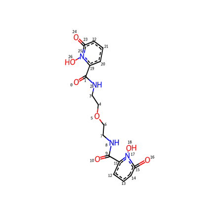 O=C(NCCOCCNC(=O)c1cccc(=O)n1O)c1cccc(=O)n1O